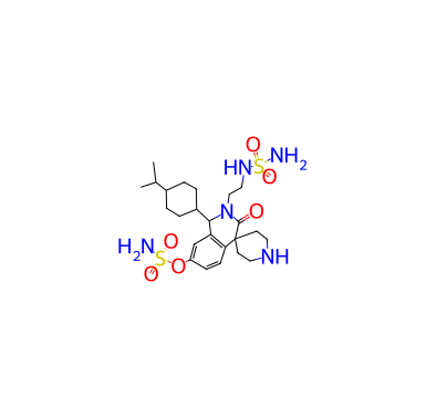 CC(C)C1CCC(C2c3cc(OS(N)(=O)=O)ccc3C3(CCNCC3)C(=O)N2CCNS(N)(=O)=O)CC1